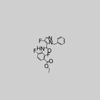 CCOC(=O)c1ccc(F)c(NC(=O)c2c(F)cnn2Cc2ccccc2)c1F